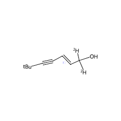 [2H]C([2H])(O)/C=C/C#CC(C)(C)C